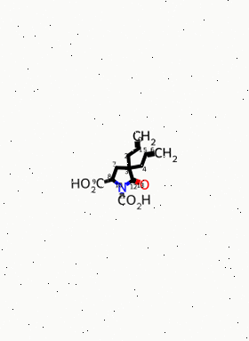 C=CCC1(CC=C)CC(C(=O)O)N(C(=O)O)C1=O